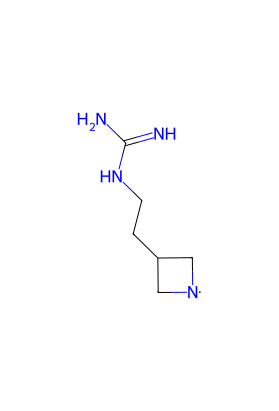 N=C(N)NCCC1C[N]C1